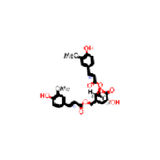 COc1cc(/C=C/C(=O)OCC2C[C@@]3(O)CC(OC(=O)/C=C/c4ccc(O)c(OC)c4)[C@H]2OC3=O)ccc1O